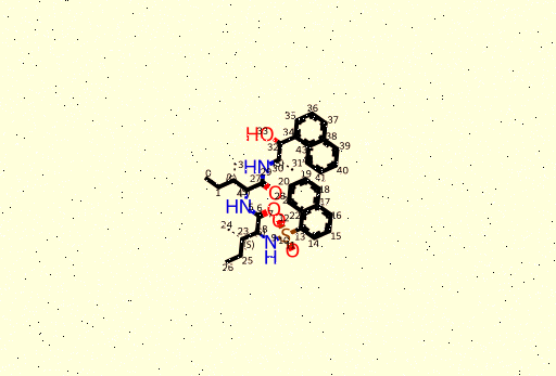 CC[C@H](C)[C@H](NC(=O)[C@@H](NS(=O)(=O)c1cccc2ccccc12)[C@@H](C)CC)C(=O)N[C@@H](C)C(O)c1cccc2ccccc12